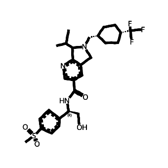 CC(C)C1c2ncc(C(=O)N[C@@H](CO)c3ccc(S(C)(=O)=O)cc3)cc2CN1C[C@H]1CC[C@@H](C(F)(F)F)CC1